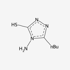 CCCCc1nnc(S)n1N